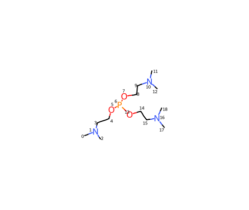 CN(C)CCOP(OCCN(C)C)OCCN(C)C